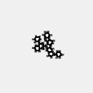 c1ccc(-c2nc(-n3c4cc5ccn(-c6ccccc6)c5cc4c4ccc5c6ccccc6sc5c43)nc3ccccc23)cc1